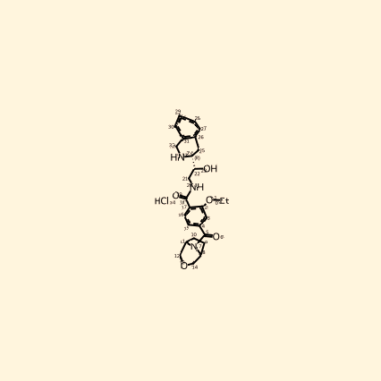 CCOc1cc(C(=O)N2C3CCC2COC3)ccc1C(=O)NCC(O)[C@H]1Cc2ccccc2CN1.Cl